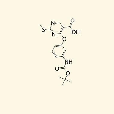 CSc1ncc(C(=O)O)c(Oc2cccc(NC(=O)OC(C)(C)C)c2)n1